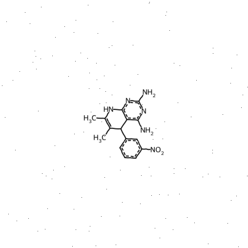 CC1=C(C)C(c2cccc([N+](=O)[O-])c2)c2c(N)nc(N)nc2N1